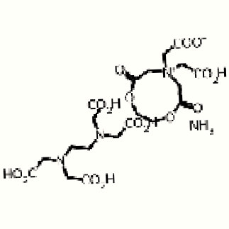 N.O=C(O)CN(CCN(CC(=O)O)CC(=O)O)CC(=O)O.O=C([O-])C[N+]1(CC(=O)O)CC(=O)OCCOC(=O)C1